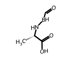 C[C@H](NBC=O)C(=O)O